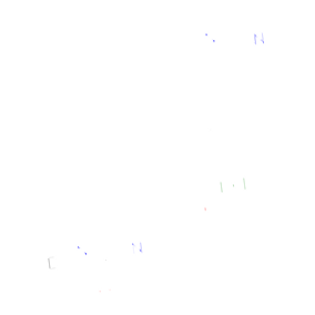 CCNC(=O)N1CCC(Oc2ccc(-c3ccn4ccnc4c3C)cc2)CC1.Cl